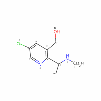 CC(NC(=O)O)c1ncc(Cl)cc1CO